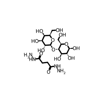 NNC(=O)CCC(=O)NN.OC[C@H]1O[C@@H](O[C@H]2[C@H](O)[C@@H](O)[C@H](O)O[C@@H]2CO)[C@H](O)[C@@H](O)[C@H]1O